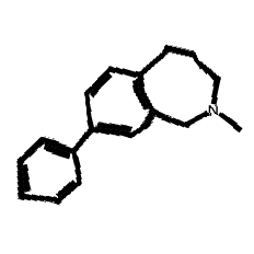 CN1CCCc2ccc(-c3ccccc3)cc2C1